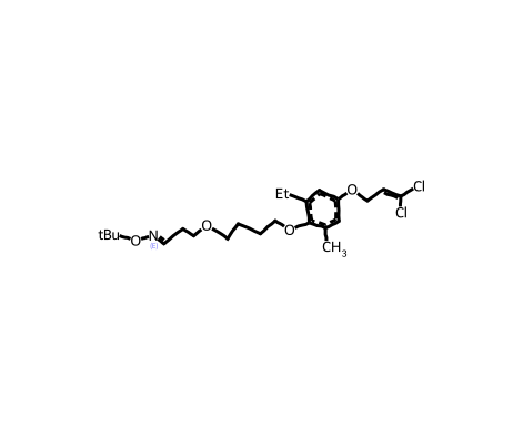 CCc1cc(OCC=C(Cl)Cl)cc(C)c1OCCCCOCC/C=N/OC(C)(C)C